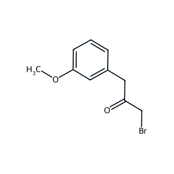 COc1cccc(CC(=O)CBr)c1